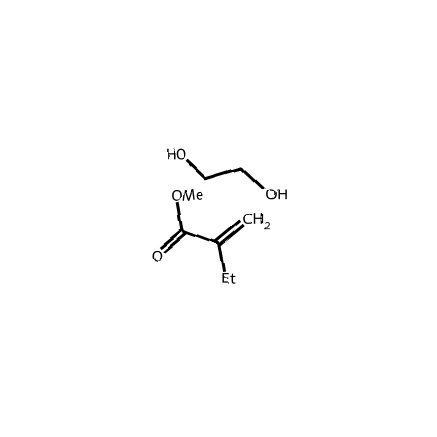 C=C(CC)C(=O)OC.OCCO